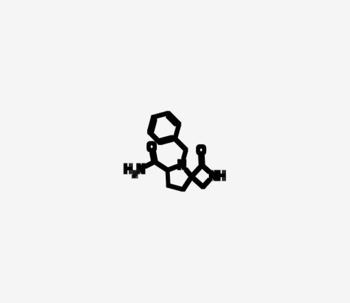 NC(=O)C1CCC2(CNC2=O)N1Cc1ccccc1